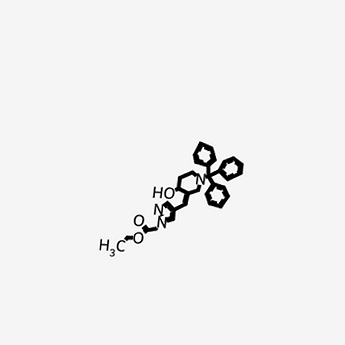 CCOC(=O)Cn1cc(C=C2CN(C(c3ccccc3)(c3ccccc3)c3ccccc3)CCC2O)cn1